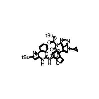 CC(C)(C)OC(=O)N(C(=O)OC(C)(C)C)c1ncnc2c1c(-c1ccc(NC(=O)Nc3cc(C(C)(C)C)nn3-c3ccccc3)c3occc13)cn2C1CC1